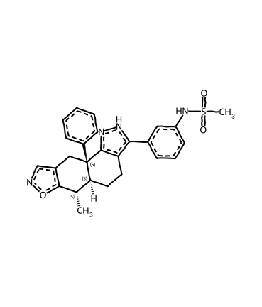 C[C@@H]1c2oncc2C[C@]2(c3ccccc3)c3n[nH]c(-c4cccc(NS(C)(=O)=O)c4)c3CC[C@@H]12